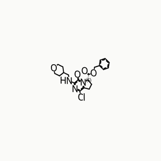 O=C(OCc1ccccc1)[C@@H]1CCc2c(Cl)nc(NCC3CCOCC3)c(=O)n21